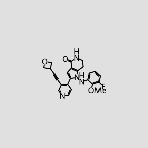 COc1c(F)cccc1Nn1c(-c2ccncc2C#CC2COC2)cc2c1CCNC2=O